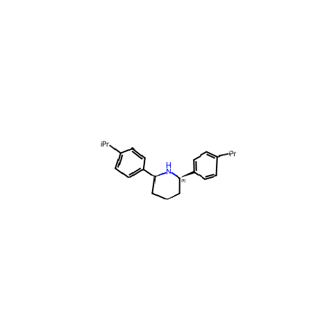 CC(C)c1ccc(C2CCC[C@H](c3ccc(C(C)C)cc3)N2)cc1